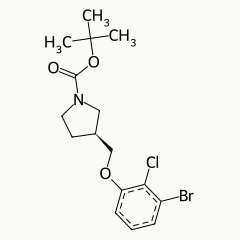 CC(C)(C)OC(=O)N1CC[C@H](COc2cccc(Br)c2Cl)C1